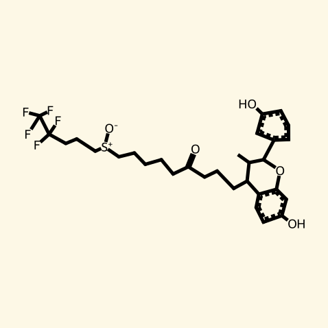 CC1C(CCCC(=O)CCCCC[S+]([O-])CCCC(F)(F)C(F)(F)F)c2ccc(O)cc2OC1c1cccc(O)c1